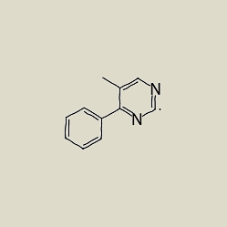 Cc1cn[c]nc1-c1ccccc1